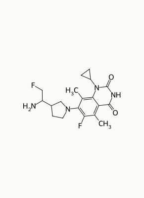 Cc1c(F)c(N2CCC(C(N)CF)C2)c(C)c2c1c(=O)[nH]c(=O)n2C1CC1